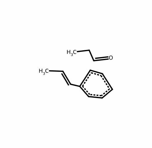 CC=Cc1ccccc1.CCC=O